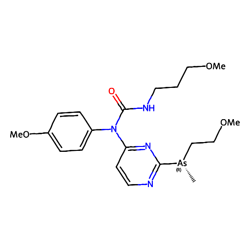 COCCCNC(=O)N(c1ccc(OC)cc1)c1ccnc([As@@](C)CCOC)n1